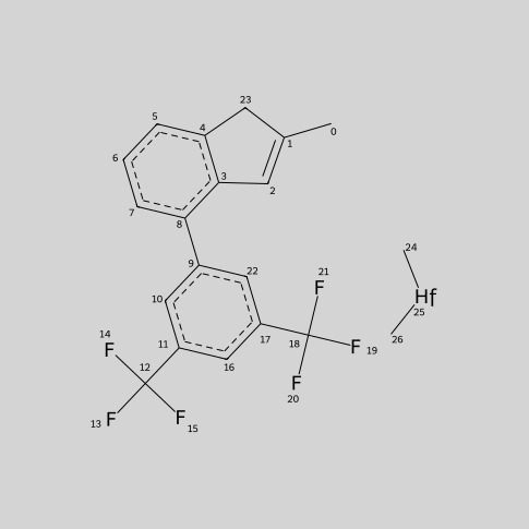 CC1=Cc2c(cccc2-c2cc(C(F)(F)F)cc(C(F)(F)F)c2)C1.[CH3][Hf][CH3]